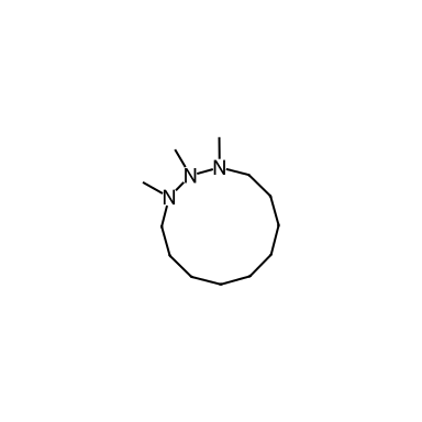 CN1CCCCCCCCCN(C)N1C